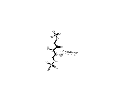 O.O=C(COP(=O)([O-])[O-])[C@H](O)[C@H](O)COP(=O)([O-])[O-].[Na+].[Na+].[Na+].[Na+]